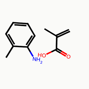 C=C(C)C(=O)O.Cc1ccccc1N